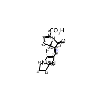 O=C(O)C1=CS[C@@H]2/C(=C\c3cn4c(n3)CCC4)C(=O)N12